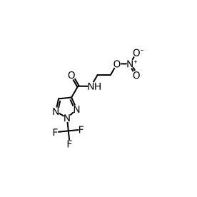 O=C(NCCO[N+](=O)[O-])c1cnn(C(F)(F)F)n1